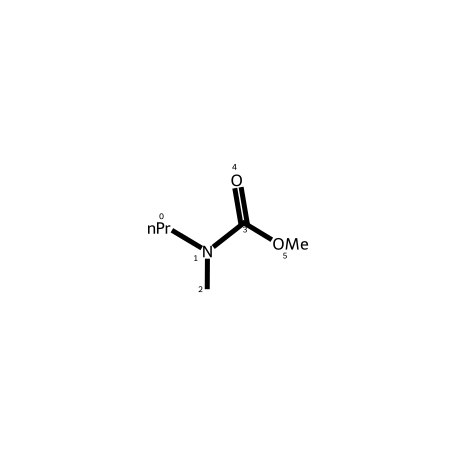 C[CH]CN(C)C(=O)OC